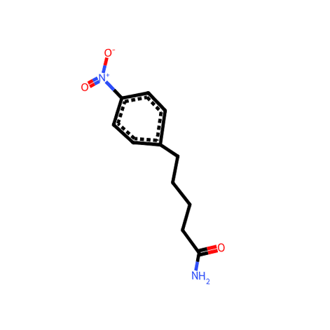 NC(=O)CCCCc1ccc([N+](=O)[O-])cc1